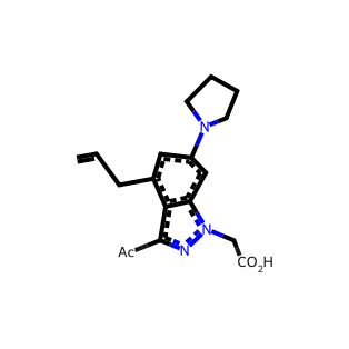 C=CCc1cc(N2CCCC2)cc2c1c(C(C)=O)nn2CC(=O)O